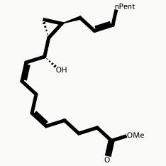 CCCCC/C=C\C[C@@H]1C[C@H]1[C@H](O)/C=C\C/C=C\CCCC(=O)OC